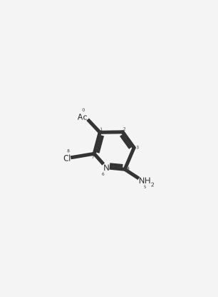 CC(=O)c1ccc(N)nc1Cl